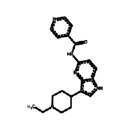 CCN1CCC(c2c[nH]c3ccc(NC(=O)c4ccncc4)nc23)CC1